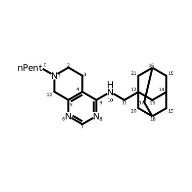 CCCCCN1CCc2c(ncnc2NCC23CC4CC(CC(C4)C2)C3)C1